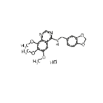 COc1cc2c(NCc3ccc4c(c3)OCO4)ncnc2c(OC)c1OC.Cl